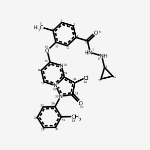 Cc1ccc(C(=O)NNC2CC2)cc1Oc1ccn2c(n1)c(Cl)c(=O)n2-c1ccccc1C